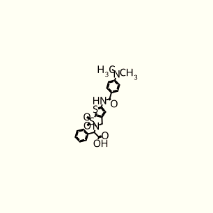 CN(C)c1ccc(C(=O)Nc2cc3c(s2)S(=O)(=O)N(C(C(=O)O)c2ccccc2)C3)cc1